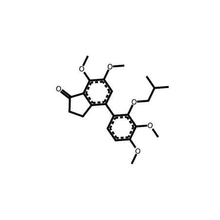 COc1ccc(-c2cc(OC)c(OC)c3c2CCC3=O)c(OCC(C)C)c1OC